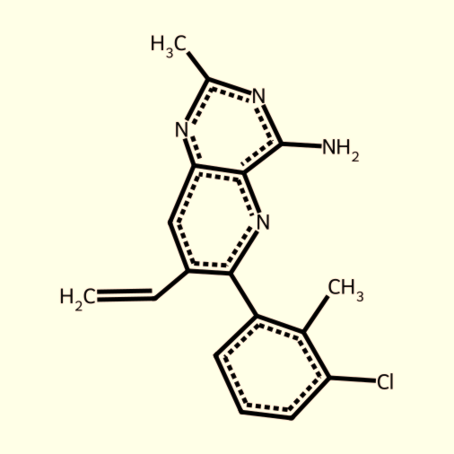 C=Cc1cc2nc(C)nc(N)c2nc1-c1cccc(Cl)c1C